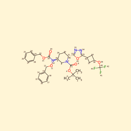 CC(C)(C)OC(=O)N1C[C@@H](N(OCc2ccccc2)C(=O)OCc2ccccc2)CC[C@@H]1c1nnc(C2CC(OC(F)(F)F)C2)o1